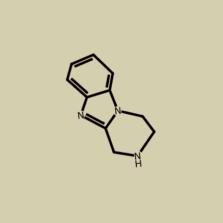 c1ccc2c(c1)nc1n2CCNC1